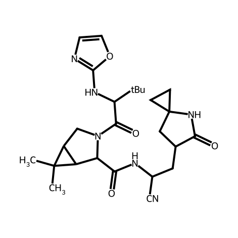 CC(C)(C)C(Nc1ncco1)C(=O)N1CC2C(C1C(=O)NC(C#N)CC1CC3(CC3)NC1=O)C2(C)C